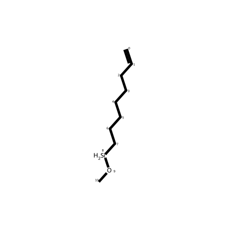 C=CCCCCCC[SiH2]OC